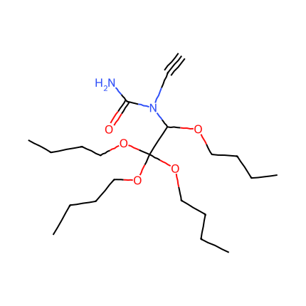 C#CN(C(N)=O)C(OCCCC)C(OCCCC)(OCCCC)OCCCC